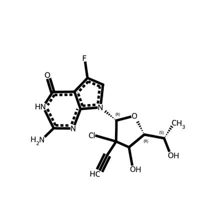 C#CC1(Cl)C(O)[C@@H]([C@H](C)O)O[C@H]1n1cc(F)c2c(=O)[nH]c(N)nc21